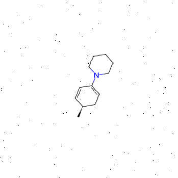 C[C@H]1C=CC(N2CCCCC2)=CC1